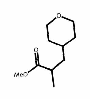 COC(=O)C(C)CC1CCOCC1